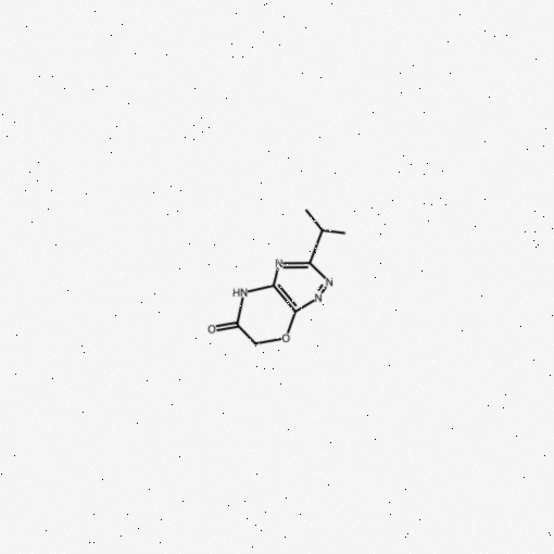 CC(C)c1nnc2c(n1)NC(=O)CO2